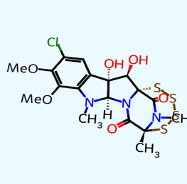 COc1c(Cl)cc2c(c1OC)N(C)[C@@H]1N3C(=O)[C@@]4(C)SSSS[C@@]3(C(=O)N4C)[C@H](O)[C@]21O